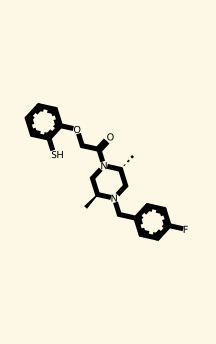 C[C@@H]1CN(Cc2ccc(F)cc2)[C@@H](C)CN1C(=O)COc1ccccc1S